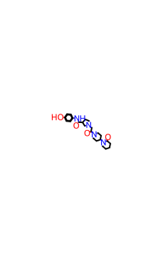 O=C(Nc1ccc(O)cc1)C1CCN(CC(=O)N2CCC(N3CCCCC3=O)CC2)C1